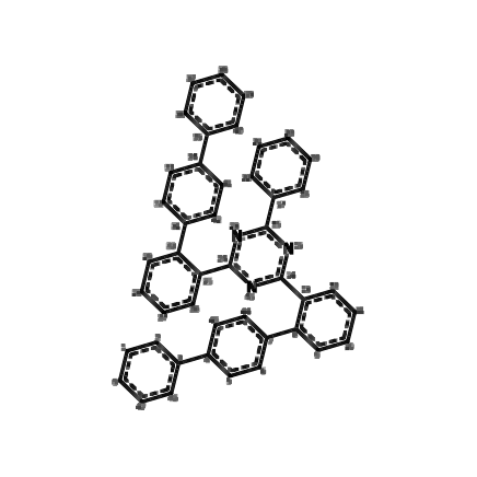 c1ccc(-c2ccc(-c3ccccc3-c3nc(-c4ccccc4)nc(-c4ccccc4-c4ccc(-c5ccccc5)cc4)n3)cc2)cc1